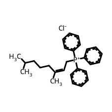 CC(=CC[P+](c1ccccc1)(c1ccccc1)c1ccccc1)CCCC(C)C.[Cl-]